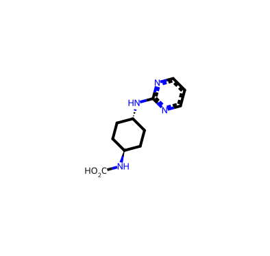 O=C(O)N[C@H]1CC[C@H](Nc2ncccn2)CC1